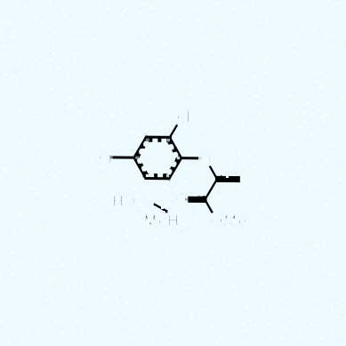 C=C(Oc1ccc(Cl)cc1Cl)C(=O)OC.CC(=O)O.[MgH2]